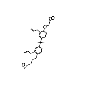 C=CCc1cc(C(C)(C)c2ccc(OCC3CO3)c(CC=C)c2)ccc1CCCC1CO1